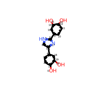 Oc1ccc(-c2c[nH]c(-c3ccc(O)c(O)c3)n2)cc1O